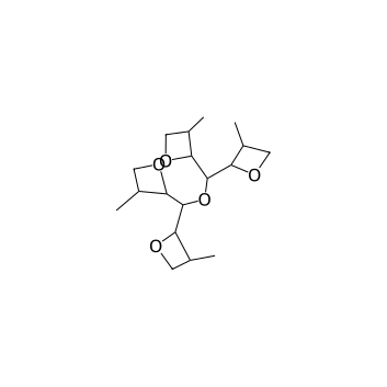 CC1COC1C(OC(C1OCC1C)C1OCC1C)C1OCC1C